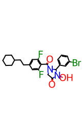 O=C1CN(C(=O)c2c(F)cc(CCC3CCCCC3)cc2F)C(c2cccc(Br)c2)N1O